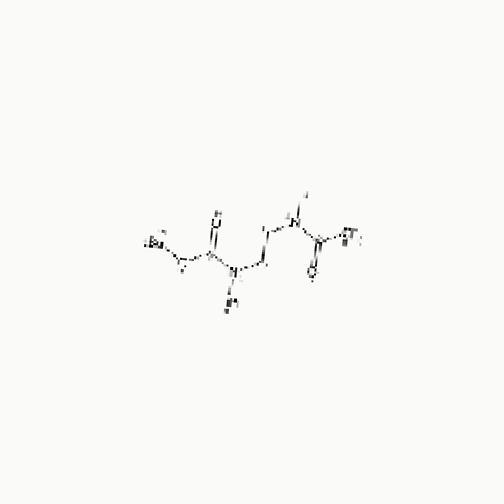 CC(C)N(CCN(C)C(=O)C(F)(F)F)C(=O)OC(C)(C)C